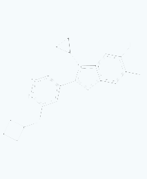 Fc1cc2cc(-c3cnnc(OC4CCC4)c3)n(C3CC3)c2cc1F